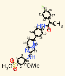 COc1cc(S(C)(=O)=O)ccc1Nc1cn2nc(-c3ccc(NC(=O)[C@H](C)c4ccc(F)cc4)cc3)ccc2n1